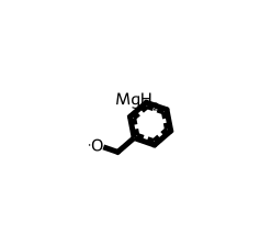 [MgH2].[O]Cc1ccccc1